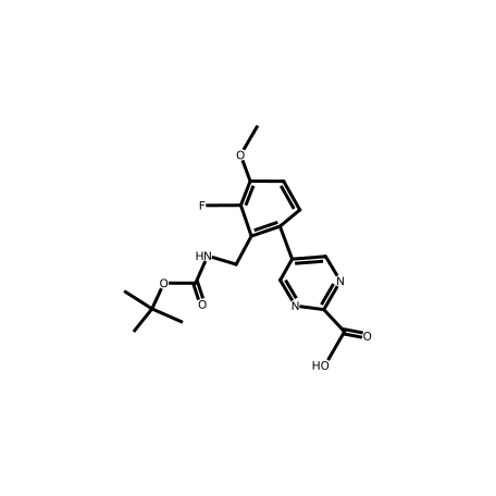 COc1ccc(-c2cnc(C(=O)O)nc2)c(CNC(=O)OC(C)(C)C)c1F